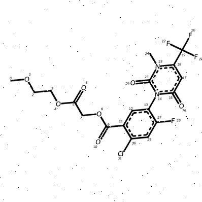 COCCOC(=O)COC(=O)c1cc(-n2c(=O)cc(C(F)(F)F)n(C)c2=O)c(F)cc1Cl